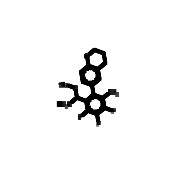 Cc1c(F)c(F)c(F)c(C(OC(C)(C)C)C(=O)O)c1-c1ccc2c(c1)CCCO2